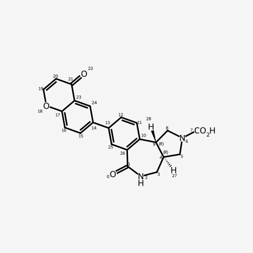 O=C1NC[C@@H]2CN(C(=O)O)C[C@H]2c2ccc(-c3ccc4occc(=O)c4c3)cc21